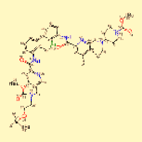 Cc1cc(C(=O)Nc2cccc(-c3cccc(NC(=O)c4ccc(CN(CCO[Si](C)(C)C(C)(C)C)C(=O)OC(C)(C)C)cn4)c3C)c2Cl)nc2c1CCN(C1CCN(C(=O)OC(C)(C)C)CC1)C2